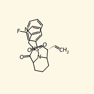 C=C[C@H]1CN(Cc2ccccn2)C(=O)C2CCCC1N2S(=O)(=O)c1cccc(F)c1